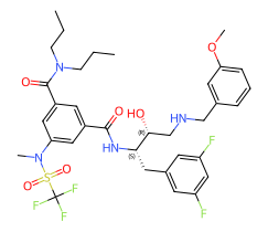 CCCN(CCC)C(=O)c1cc(C(=O)N[C@@H](Cc2cc(F)cc(F)c2)[C@H](O)CNCc2cccc(OC)c2)cc(N(C)S(=O)(=O)C(F)(F)F)c1